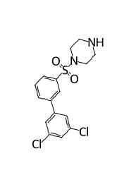 O=S(=O)(c1cccc(-c2cc(Cl)cc(Cl)c2)c1)N1CCNCC1